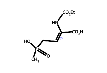 CCOC(=O)N/C(=C\CP(C)(=O)O)C(=O)O